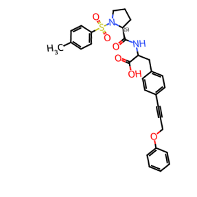 Cc1ccc(S(=O)(=O)N2CCC[C@H]2C(=O)NC(Cc2ccc(C#CCOc3ccccc3)cc2)C(=O)O)cc1